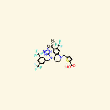 CCc1cc2c(cc1C(F)(F)F)N(Cc1ccc(C(=O)O)s1)CCCC2N(Cc1cc(C(F)(F)F)cc(C(F)(F)F)c1)c1nnn(C)n1